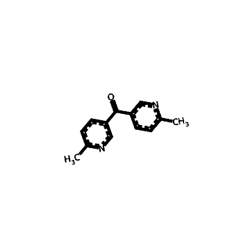 Cc1ccc(C(=O)c2ccc(C)nc2)cn1